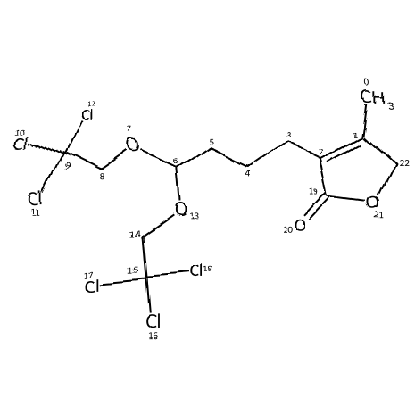 CC1=C(CCCC(OCC(Cl)(Cl)Cl)OCC(Cl)(Cl)Cl)C(=O)OC1